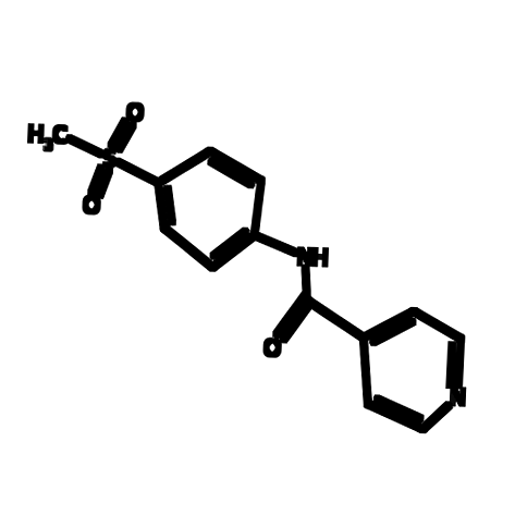 CS(=O)(=O)c1ccc(NC(=O)c2ccncc2)cc1